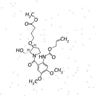 C=CCOC(=O)Nc1cc(OC)c(OC)cc1C(=O)N1CC[C@H](OCCCC(=O)OC)[C@H]1CO